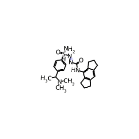 CC(c1ccc([SH](N)(=O)/N=N/C(=O)Nc2c3c(cc4c2CCC4)CCC3)cc1)N(C)C